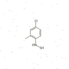 Cc1cc(Cl)ccc1NS